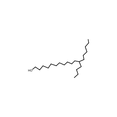 CCCCCCC(CCCC)CCCCCCCCCCCO